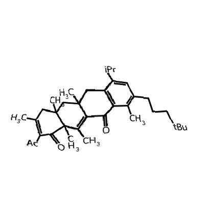 CC(=O)C1=C(C)CC2(C)CC3(C)Cc4c(C(C)C)cc(CCCC(C)(C)C)c(C)c4C(=O)C3=C(C)C2(C)C1=O